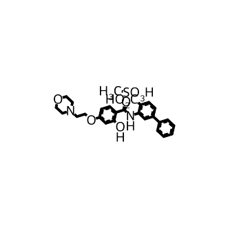 CS(=O)(=O)O.O=C(Nc1cc(-c2ccccc2)ccc1C(=O)O)c1ccc(OCCN2CCOCC2)cc1O